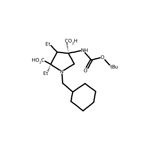 CCC1[C@](CC)(C(=O)O)N(CC2CCCCC2)C[C@@]1(NC(=O)OC(C)(C)C)C(=O)O